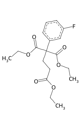 CCOC(=O)CCC(C(=O)OCC)(C(=O)OCC)c1cccc(F)c1